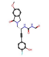 COc1ccc2c(c1)C(=O)N(C[C@@H](C#Cc1ccc(F)c(O)c1)NC(=O)NC=O)C2